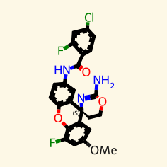 COc1cc(F)c2c(c1)[C@]1(CCOC(N)=N1)c1cc(NC(=O)c3ccc(Cl)cc3F)ccc1O2